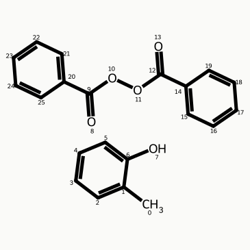 Cc1ccccc1O.O=C(OOC(=O)c1ccccc1)c1ccccc1